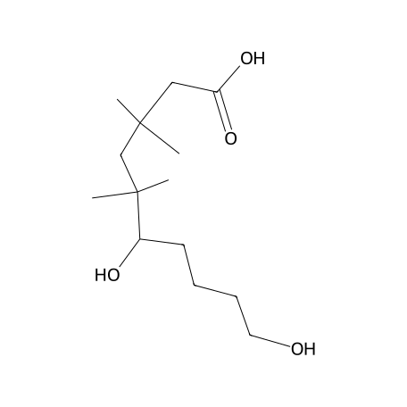 CC(C)(CC(=O)O)CC(C)(C)C(O)CCCCO